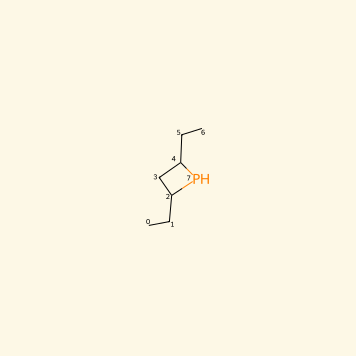 CCC1CC(CC)P1